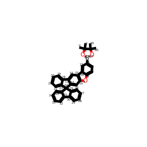 CC1(C)OB(c2ccc3oc4cc5c(cc4c3c2)-c2ccccc2C52c3ccccc3-c3ccccc32)OC1(C)C